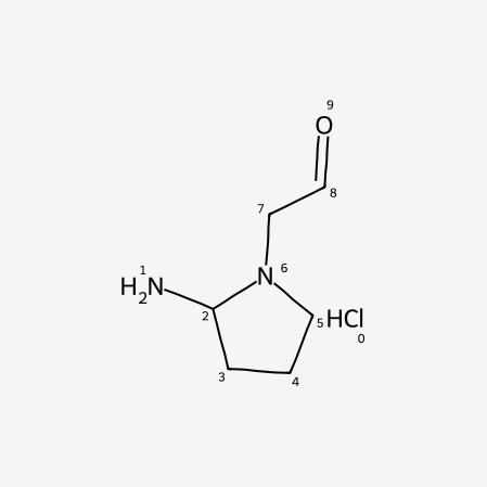 Cl.NC1CCCN1CC=O